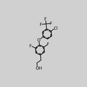 OCCc1cc(F)c(Oc2ccc(Cl)c(C(F)(F)F)c2)c(F)c1